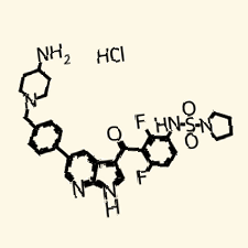 Cl.NC1CCN(Cc2ccc(-c3cnc4[nH]cc(C(=O)c5c(F)ccc(NS(=O)(=O)N6CCCC6)c5F)c4c3)cc2)CC1